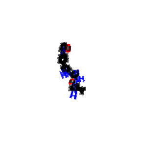 O=C(Nc1cncc(Nc2ccc(-c3ccc(N4CCCC4=O)cc3)cn2)c1)N1CCNC(C2CC2)C1